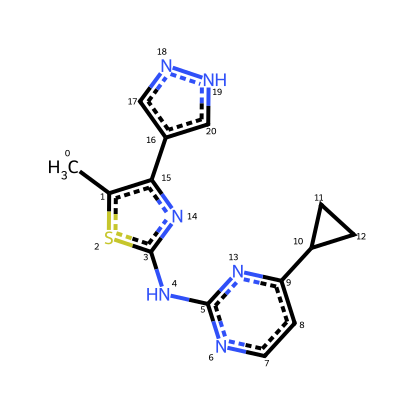 Cc1sc(Nc2nccc(C3CC3)n2)nc1-c1cn[nH]c1